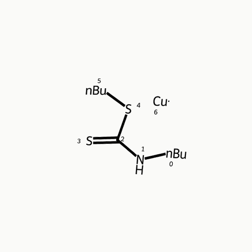 CCCCNC(=S)SCCCC.[Cu]